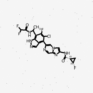 CC(NC(=O)C(F)F)c1c(F)c(Cl)c(-c2cn3cc(NC(=O)[C@@H]4C[C@@H]4F)nc3cn2)c2cn[nH]c12